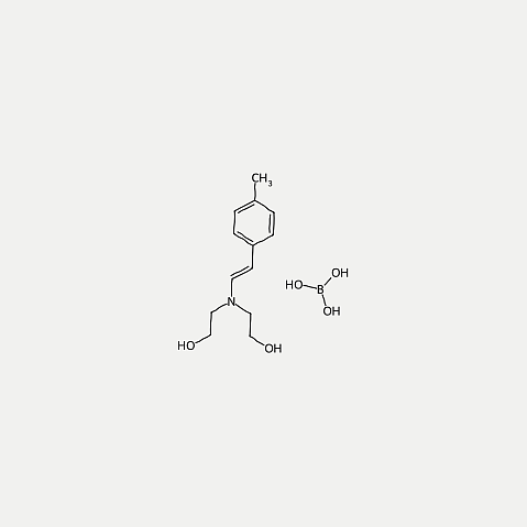 Cc1ccc(C=CN(CCO)CCO)cc1.OB(O)O